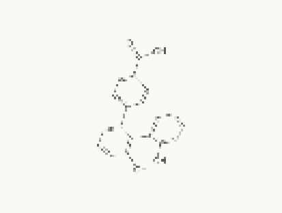 O=C(O)c1ccc(-c2cccc(O)c2-c2ccccc2O)cc1